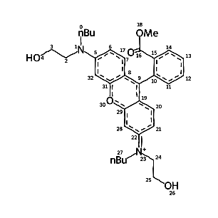 CCCCN(CCO)c1ccc2c(-c3ccccc3C(=O)OC)c3cc/c(=[N+](\CCO)CCCC)cc-3oc2c1